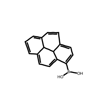 OB(O)C1=CC=C2C=CC3=CC=CC4=CC=C1C2C34